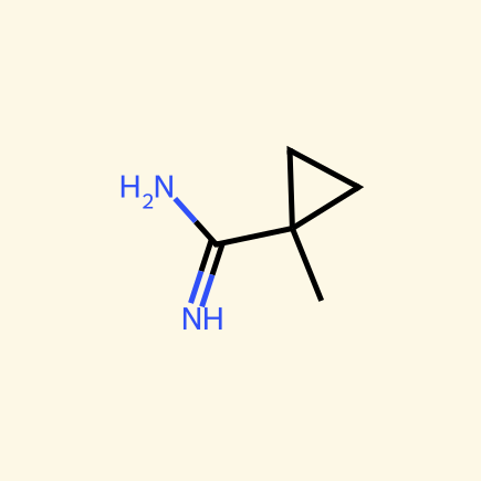 CC1(C(=N)N)CC1